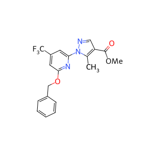 COC(=O)c1cnn(-c2cc(C(F)(F)F)cc(OCc3ccccc3)n2)c1C